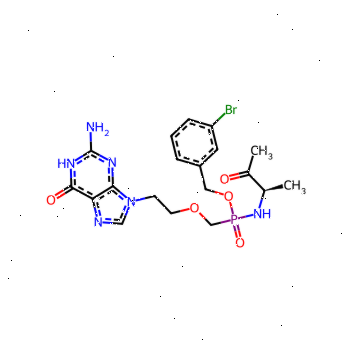 CC(=O)[C@@H](C)NP(=O)(COCCn1cnc2c(=O)[nH]c(N)nc21)OCc1cccc(Br)c1